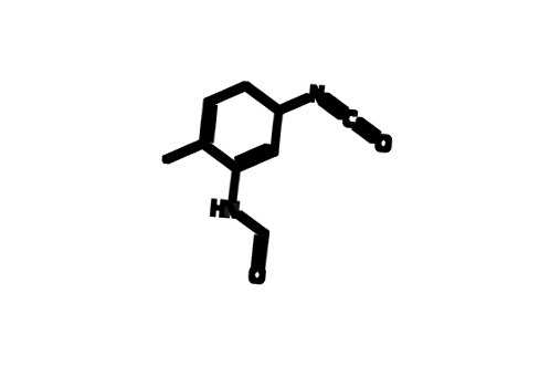 CC1=CCC(N=C=O)C=C1NC=O